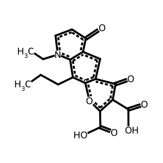 CCCc1c2oc(C(=O)O)c(C(=O)O)c(=O)c2cc2c(=O)ccn(CC)c12